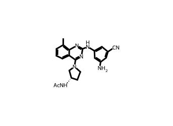 CC(=O)N[C@H]1CCN(c2nc(Nc3cc(N)cc(C#N)c3)nc3c(C)cccc23)C1